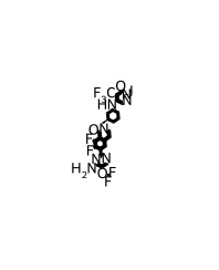 Nc1nc(-c2cc3ccn(C[C@@H]4CCC[C@H](Nc5cnn(I)c(=O)c5C(F)(F)F)C4)c(=O)c3c(F)c2F)ncc1OC(F)F